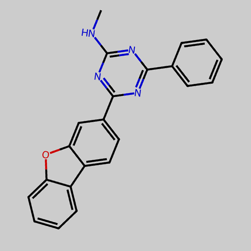 CNc1nc(-c2ccccc2)nc(-c2ccc3c(c2)oc2ccccc23)n1